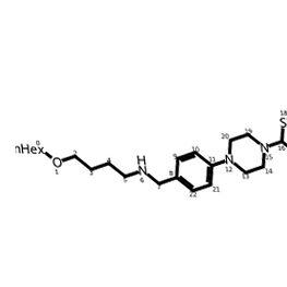 CCCCCCOCCCCNCc1ccc(N2CCN(C(C)S)CC2)cc1